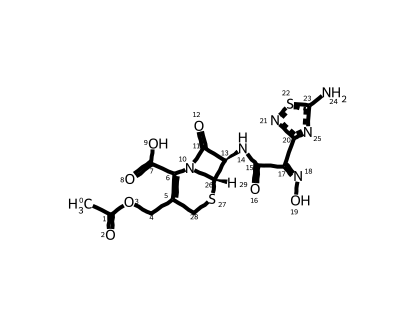 CC(=O)OCC1=C(C(=O)O)N2C(=O)[C@@H](NC(=O)/C(=N\O)c3nsc(N)n3)[C@@H]2SC1